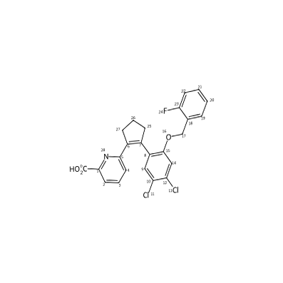 O=C(O)c1cccc(C2=C(c3cc(Cl)c(Cl)cc3OCc3ccccc3F)CCC2)n1